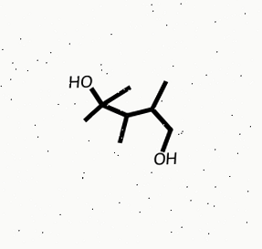 CC(CO)C(C)C(C)(C)O